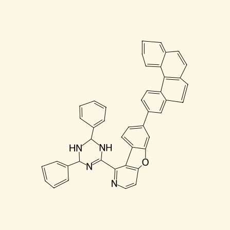 c1ccc(C2N=C(c3nccc4oc5cc(-c6ccc7c(ccc8ccc9ccccc9c87)c6)ccc5c34)NC(c3ccccc3)N2)cc1